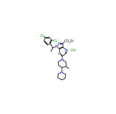 CCOC(=O)c1nn(C(C)c2ccc(Cl)cc2Cl)c2nc(N3CCC(N4CCCCC4)C(C)C3)cnc12.Cl